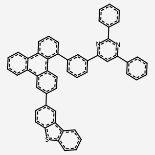 c1ccc(-c2cc(-c3cccc(-c4cccc5c6ccccc6c6cc(-c7ccc8sc9ccccc9c8c7)ccc6c45)c3)nc(-c3ccccc3)n2)cc1